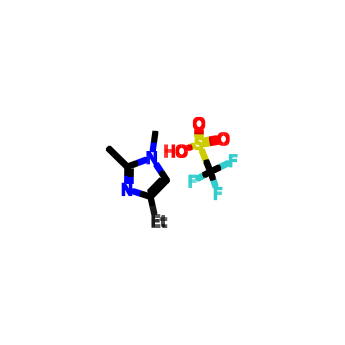 CCc1cn(C)c(C)n1.O=S(=O)(O)C(F)(F)F